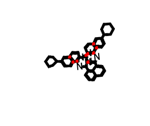 c1ccc(-c2nc(-c3ccc(C4CCCCC4)cc3)nc(-c3cccc4cccc(-c5nc(-c6ccccc6)nc(-c6ccc(C7CCCCC7)cc6)n5)c34)n2)cc1